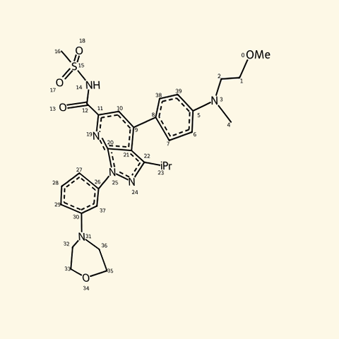 COCCN(C)c1ccc(-c2cc(C(=O)NS(C)(=O)=O)nc3c2c(C(C)C)nn3-c2cccc(N3CCOCC3)c2)cc1